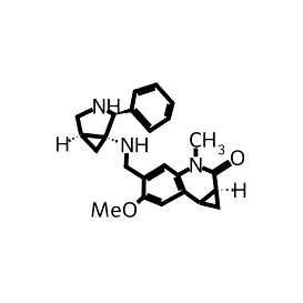 COc1cc2c(cc1CN[C@]13C[C@H]1CN[C@H]3c1ccccc1)N(C)C(=O)[C@H]1CC21